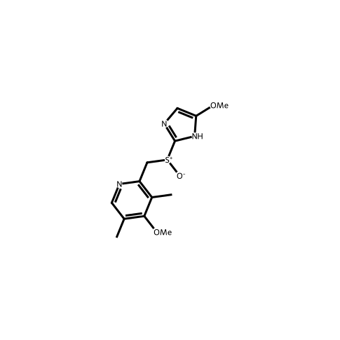 COc1cnc([S+]([O-])Cc2ncc(C)c(OC)c2C)[nH]1